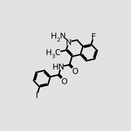 CC1=C(C(=O)NC(=O)c2cccc(I)c2)c2cccc(F)c2CN1N